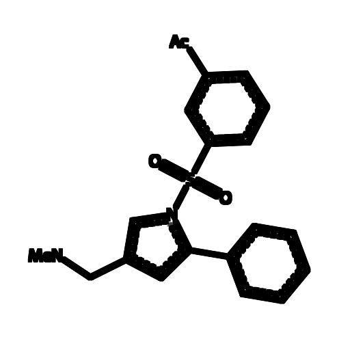 CNCc1cc(-c2ccccc2)n(S(=O)(=O)c2cccc(C(C)=O)c2)c1